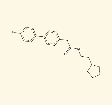 O=C(Cc1ccc(-c2ccc(F)cc2)cc1)NCCC1CCCC1